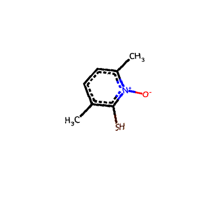 Cc1ccc(C)[n+]([O-])c1S